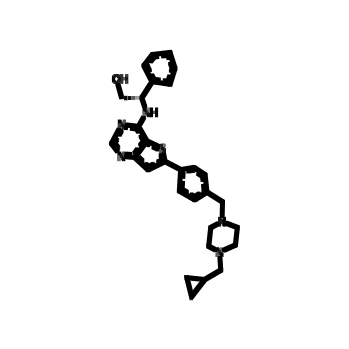 OC[C@@H](Nc1ncnc2cc(-c3ccc(CN4CCN(CC5CC5)CC4)cc3)sc12)c1ccccc1